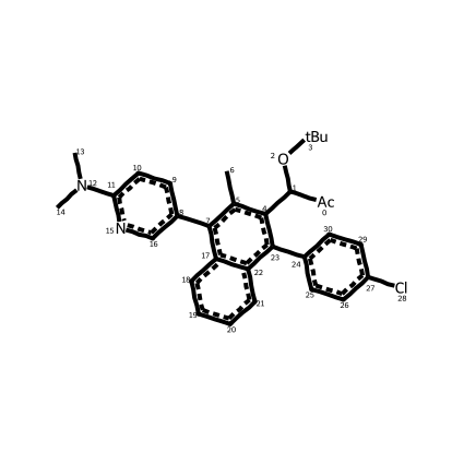 CC(=O)C(OC(C)(C)C)c1c(C)c(-c2ccc(N(C)C)nc2)c2ccccc2c1-c1ccc(Cl)cc1